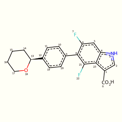 O=C(O)c1c[nH]c2cc(F)c(-c3ccc([C@@H]4CCCCO4)cc3)c(F)c12